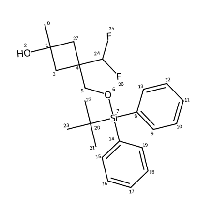 CC1(O)CC(CO[Si](c2ccccc2)(c2ccccc2)C(C)(C)C)(C(F)F)C1